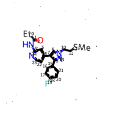 CCC(=O)Nc1cc(-c2cn(CCSC)nc2-c2ccc(F)cc2)ccn1